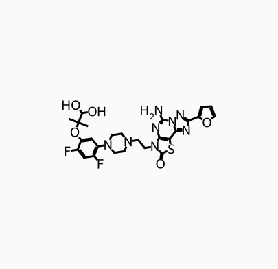 CC(C)(Oc1cc(N2CCN(CCn3c(=O)sc4c3nc(N)n3nc(-c5ccco5)nc43)CC2)c(F)cc1F)C(O)O